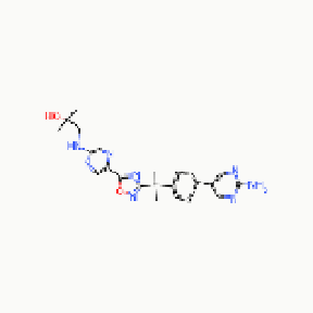 CC(C)(O)CNc1cnc(-c2nc(C(C)(C)c3ccc(-c4cnc(N)nc4)cc3)no2)cn1